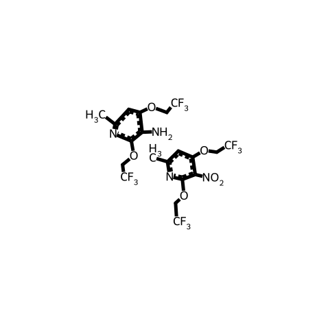 Cc1cc(OCC(F)(F)F)c(N)c(OCC(F)(F)F)n1.Cc1cc(OCC(F)(F)F)c([N+](=O)[O-])c(OCC(F)(F)F)n1